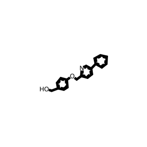 OCc1ccc(OCc2ccc(-c3ccccc3)cn2)cc1